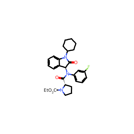 CCOC(=O)N1CCC[C@H]1C(=O)N(c1cccc(F)c1)[C@@H]1C(=O)N(C2CCCCC2)c2ccccc21